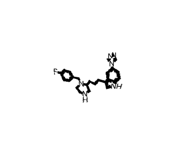 Fc1ccc(CN2CCNCC2CCCc2c[nH]c3ccc(-n4cnnc4)cc23)cc1